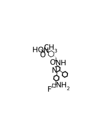 CN(C(=O)O)[C@H]1CC[C@H](CC(=O)Nc2cnc(-c3ccc(C4(N)CC(F)C4)cc3)c(-c3ccccc3)c2)CC1